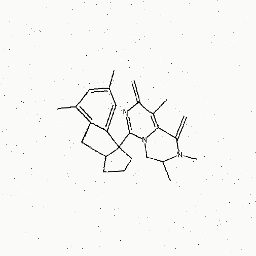 C=C1N=C(C23CCCC2Cc2c(C)cc(C)cc23)N2CC(C)N(C)C(=C)C2=C1C